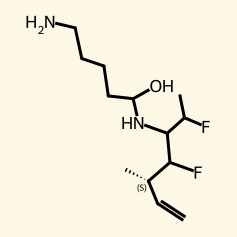 C=C[C@H](C)C(F)C(NC(O)CCCCN)C(C)F